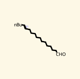 CCCC/C=C/CCCCCCCCCCCC=O